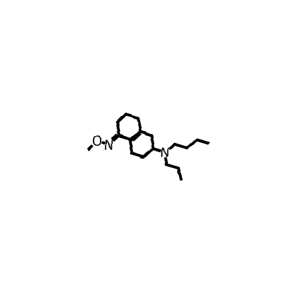 CCCCN(CCC)C1CCC2=C(CCCC2=NOC)C1